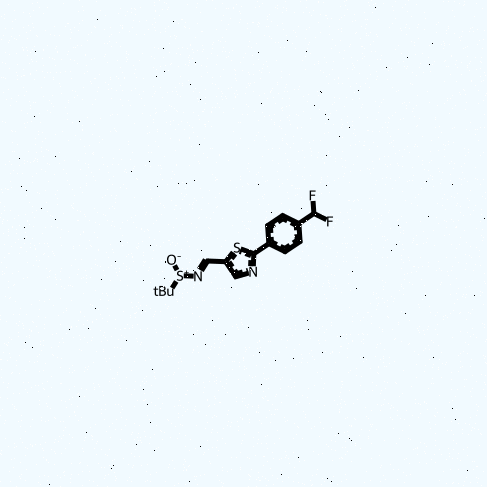 CC(C)(C)[S+]([O-])/N=C/c1cnc(-c2ccc(C(F)F)cc2)s1